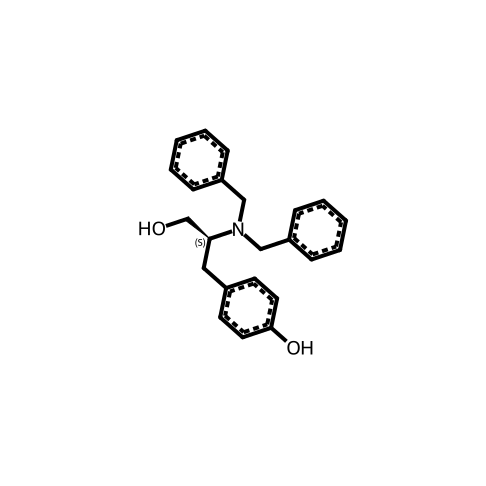 OC[C@H](Cc1ccc(O)cc1)N(Cc1ccccc1)Cc1ccccc1